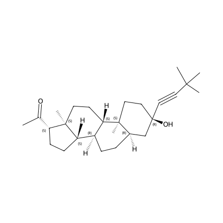 CC(=O)[C@H]1CC[C@H]2[C@@H]3CC[C@@H]4C[C@@](O)(C#CC(C)(C)C)CC[C@]4(C)[C@H]3CC[C@]12C